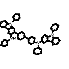 c1ccc(Nc2cc3c4ccccc4n(-c4ccccc4)c3cc2-c2ccc(-c3ccc(N(c4ccccc4)c4ccc5c(c4)c4ccccc4n5-c4ccccc4)cc3)cc2)cc1